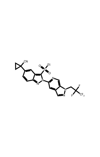 CCS(=O)(=O)c1c2cc(C3(C#N)CC3)ccc2nn1-c1cc2cnn(CC(F)(F)C(F)(F)F)c2cn1